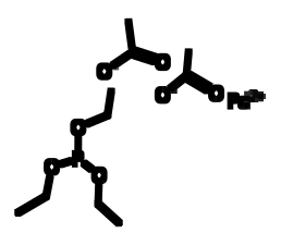 CC(=O)[O-].CC(=O)[O-].CCOP(OCC)OCC.[Pd+2]